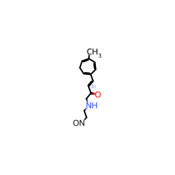 CC1=CCC=C(/C=C/C(=O)CNCCN=O)C=C1